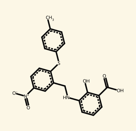 Cc1ccc(Sc2ccc([N+](=O)[O-])cc2CNc2cccc(C(=O)O)c2O)cc1